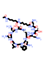 CC(=O)NCCCCCC(=O)NCCCCCC(=O)N[C@@H](CCN)C(=O)N[C@H](C(=O)N[C@@H](CCN)C(=O)N[C@H]1CCNC(=O)[C@H]([C@@H](C)O)NC(=O)[C@H](CCN)NC(=O)[C@H](CCN)NC(=O)[C@H](CC(C)C)NC(=O)[C@@H](Cc2ccccc2)NC(=O)[C@H](CCN)NC1=O)[C@@H](C)O